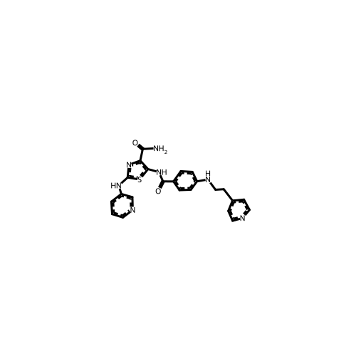 NC(=O)c1nc(Nc2cccnc2)sc1NC(=O)c1ccc(NCCc2ccncc2)cc1